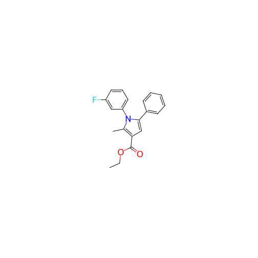 CCOC(=O)c1cc(-c2ccccc2)n(-c2cccc(F)c2)c1C